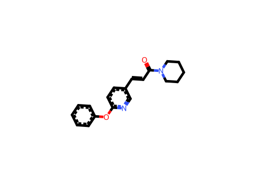 O=C(C=Cc1ccc(Oc2ccccc2)nc1)N1CCCCC1